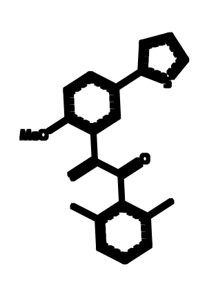 C=C(C(=O)c1c(C)cccc1C)c1cc(-c2cccs2)ccc1OC